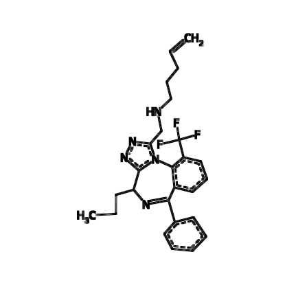 C=CCCCNCc1nnc2n1-c1c(cccc1C(F)(F)F)C(c1ccccc1)=NC2CCC